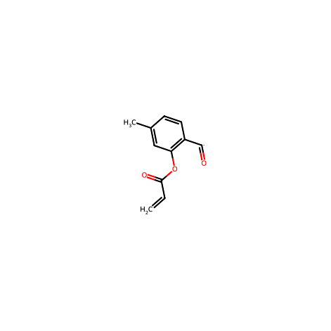 C=CC(=O)Oc1cc(C)ccc1[C]=O